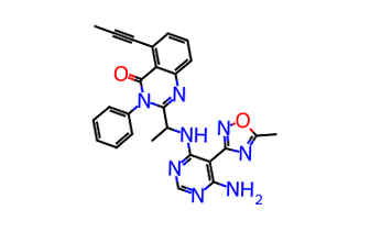 CC#Cc1cccc2nc(C(C)Nc3ncnc(N)c3-c3noc(C)n3)n(-c3ccccc3)c(=O)c12